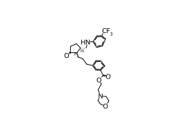 O=C(OCCN1CCOCC1)c1cccc(CCC[C@H]2C(=O)CC[C@@H]2CNc2cccc(C(F)(F)F)c2)c1